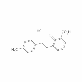 Cc1ccc(CCn2cccc(C(=O)O)c2=O)cc1.Cl